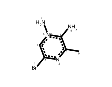 Cc1nc(Br)c[n+](N)c1N